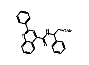 COCC(NC(=O)c1cc(-c2ccccc2)nc2ccccc12)c1ccccc1